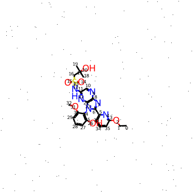 CCOC1=NC(c2nc3ncc(NS(=O)(=O)CC(C)(C)O)nc3n2-c2c(O)cccc2OC)=C=C=C1